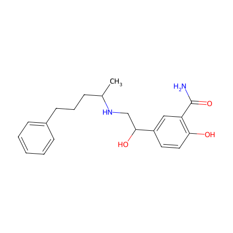 CC(CCCc1ccccc1)NCC(O)c1ccc(O)c(C(N)=O)c1